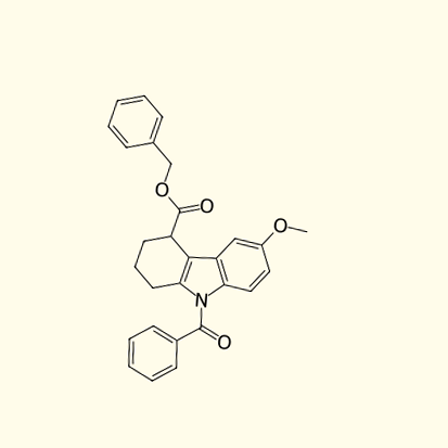 COc1ccc2c(c1)c1c(n2C(=O)c2ccccc2)CCCC1C(=O)OCc1ccccc1